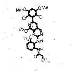 C=CC(=O)Nc1cccc(C)c1Nc1ncc2cc(-c3c(Cl)c(OC)cc(OC)c3Cl)nc(OCC)c2n1